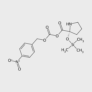 C[Si](C)(C)O[C@@]1(C(=O)OC(=O)OCc2ccc([N+](=O)[O-])cc2)CCCN1